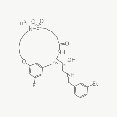 CCCN1CCCCOc2cc(F)cc(c2)C[C@@H]([C@H](O)CNCc2cccc(CC)c2)NC(=O)CCCS1(=O)=O